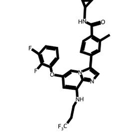 Cc1cc(-c2cnc3c(NCCC(F)(F)F)cc(Oc4cccc(F)c4F)cn23)ccc1C(=O)NC1CC1